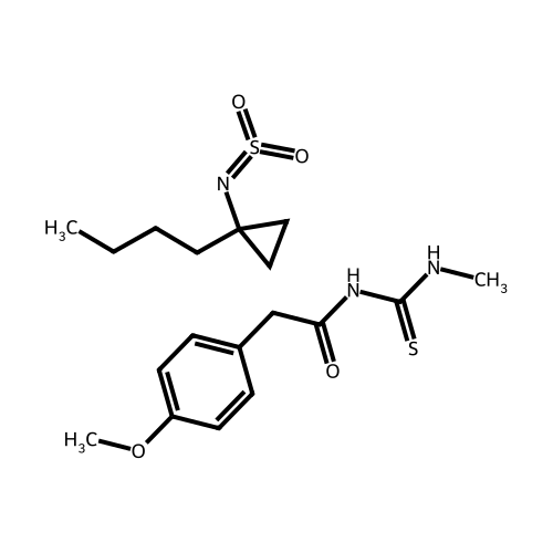 CCCCC1(N=S(=O)=O)CC1.CNC(=S)NC(=O)Cc1ccc(OC)cc1